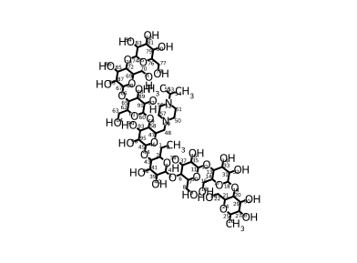 CCC1OC(OC2C(CO)OC(OC3C(CO)OC(OC4C(CO)OC(C)C(O)C4O)C(O)C3O)C(O)C2O)C(O)C(O)C1OC1OC(CN2CCN(C(C)C)CC2)C(OC2OC(CO)C(OC3OC(CO)C(OC4OC(CO)C(O)C(O)C4O)C(O)C3O)C(O)C2O)C(O)C1O